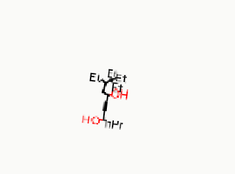 CCCC(O)C#CC(O)CC(CC)C(CC)(CC)CC